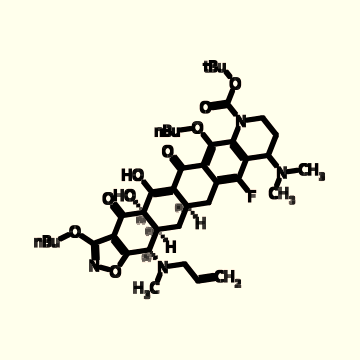 C=CCN(C)[C@@H]1c2onc(OCCCC)c2C(=O)[C@@]2(O)C(O)=C3C(=O)c4c(c(F)c5c(c4OCCCC)N(C(=O)OC(C)(C)C)CCC5N(C)C)C[C@H]3C[C@@H]12